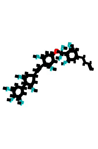 C=CCCc1cc(F)c(C(F)(F)Oc2cc(F)c(C#Cc3cc(F)c(-c4cc(F)c(F)c(F)c4)c(F)c3)c(F)c2)c(F)c1